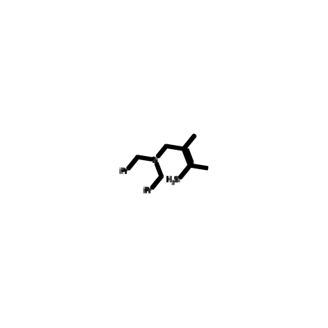 CC([SiH3])=C(C)CN(CC(C)C)CC(C)C